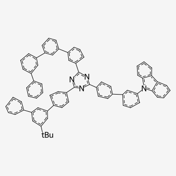 CC(C)(C)c1cc(-c2ccccc2)cc(-c2ccc(-c3nc(-c4ccc(-c5cccc(-n6c7ccccc7c7ccccc76)c5)cc4)nc(-c4cccc(-c5cccc(-c6cccc(-c7ccccc7)c6)c5)c4)n3)cc2)c1